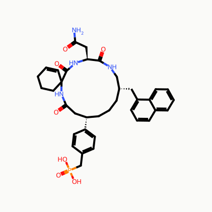 NC(=O)C[C@@H]1NC(=O)C2(C=CCCC2)NC(=O)C[C@@H](c2ccc(CP(=O)(O)O)cc2)CCC[C@@H](Cc2cccc3ccccc23)CNC1=O